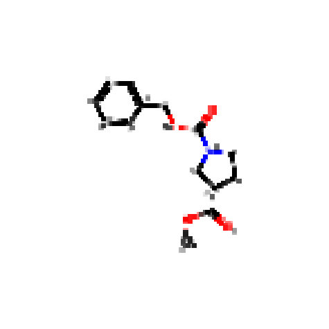 CC(C)(C)OC(=O)[C@H]1CCN(C(=O)OCc2ccccc2)C1